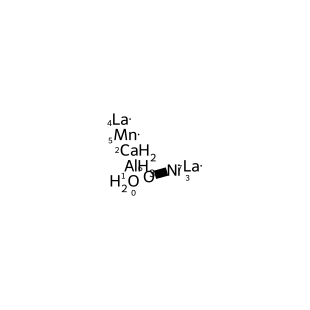 O.[AlH3].[CaH2].[La].[La].[Mn].[O]=[Ni]